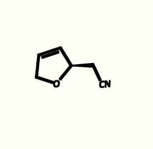 N#CC[C@@H]1C=CCO1